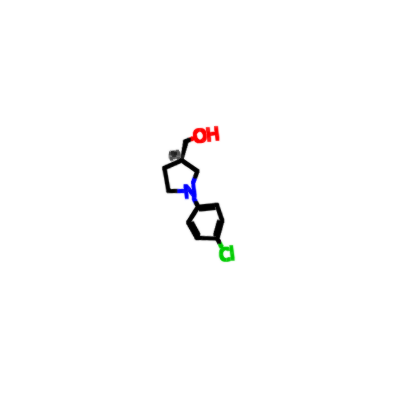 OC[C@@H]1CCN(c2ccc(Cl)cc2)C1